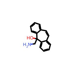 NCC1(O)c2ccccc2C=Cc2ccccc21